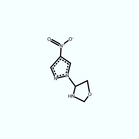 O=[N+]([O-])c1cnn(C2COCN2)c1